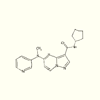 CN(c1cccnc1)c1ccn2ncc(C(=O)NC3CCCC3)c2n1